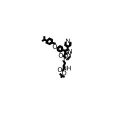 CC(C)c1ccc(COc2ccc(-c3c(-c4ccncc4)nn4c3C(=O)N(CCCNC(=O)OC(C)(C)C)CC4)cc2)cc1